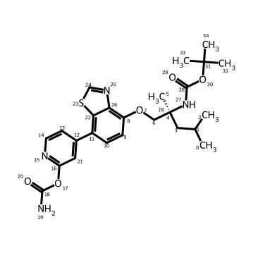 CC(C)C[C@@](C)(COc1ccc(-c2ccnc(OC(N)=O)c2)c2scnc12)NC(=O)OC(C)(C)C